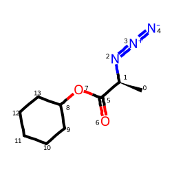 C[C@H](N=[N+]=[N-])C(=O)OC1CCCCC1